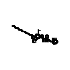 CCCCCCCCCCCCOc1ccc(OCC(=O)NCCc2cccc[n+]2C)cc1Cl.[I-]